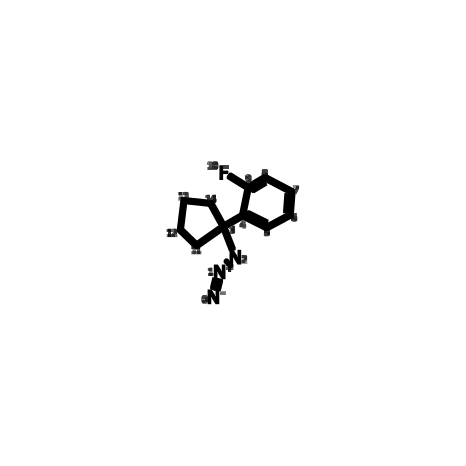 [N-]=[N+]=NC1(c2ccccc2F)CCCC1